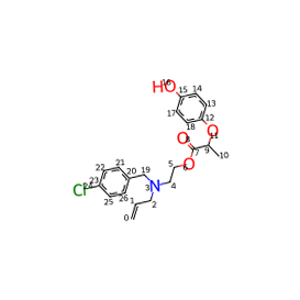 C=CCN(CCOC(=O)C(C)Oc1ccc(O)cc1)Cc1ccc(Cl)cc1